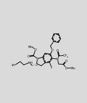 CC(C)CCNC[C@H]1Cc2c(cc(OCc3ccccc3)c(N(CC(=O)OC(C)(C)C)C(=O)C(F)(F)F)c2F)N1C(=O)OC(C)(C)C